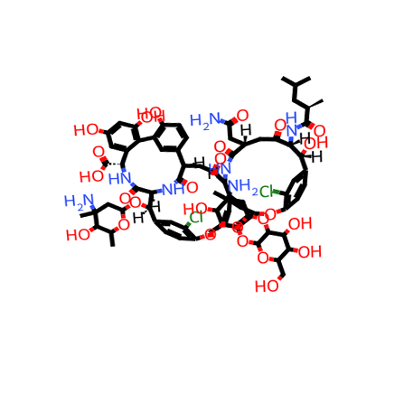 CC(C)C[C@@H](C)C(=O)N[C@H]1C(=O)C[C@@H](CC(N)=O)C(=O)N[C@H]2C(=O)C[C@H]3C(=O)N[C@H](C(=O)N[C@H](C(=O)O)c4cc(O)cc(O)c4-c4cc3ccc4O)[C@H](OC3CC(C)(N)C(O)C(C)O3)c3ccc(c(Cl)c3)Oc3cc2cc(c3OC2OC(CO)C(O)C(O)C2OC2CC(C)(N)C(O)C(C)O2)Oc2ccc(cc2Cl)[C@H]1O